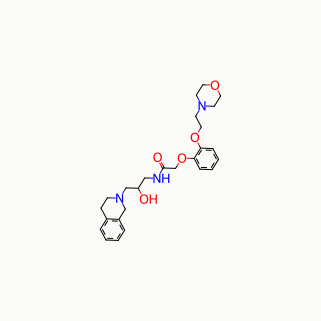 O=C(COc1ccccc1OCCN1CCOCC1)NCC(O)CN1CCc2ccccc2C1